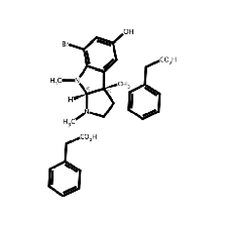 CN1CC[C@@]2(C)c3cc(O)cc(Br)c3N(C)[C@@H]12.O=C(O)Cc1ccccc1.O=C(O)Cc1ccccc1